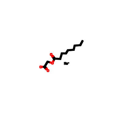 CCCCCCCCC(=O)OCC(=O)[O-].[Na+]